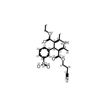 CCOC(=O)C1=C(C)NC(C)=C(C(=O)OCCC#N)C1c1cccc([N+](=O)[O-])c1